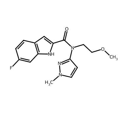 COCCN(C(=O)c1cc2ccc(F)cc2[nH]1)c1ccn(C)n1